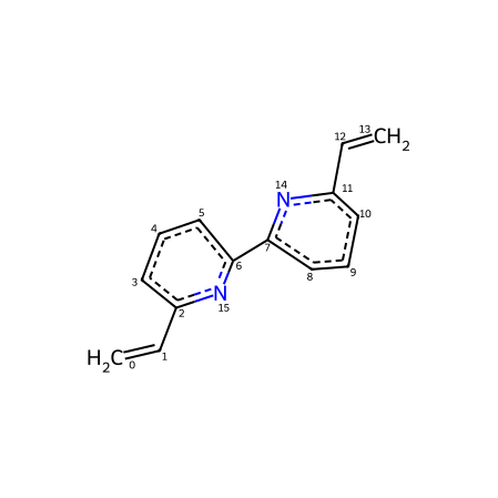 C=Cc1cccc(-c2cccc(C=C)n2)n1